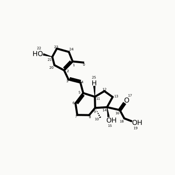 CC1=C(C=CC2=CCC[C@@]3(C)[C@H]2CC[C@]3(O)C(=O)CO)C[C@@H](O)CC1